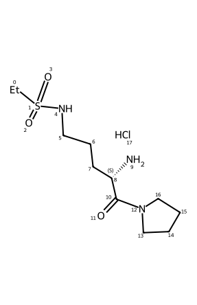 CCS(=O)(=O)NCCC[C@H](N)C(=O)N1CCCC1.Cl